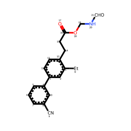 CCc1cc(-c2cccc(C#N)c2)ccc1CCC(=O)OCNC=O